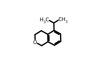 CC(C)c1cccc2c1CCOC2